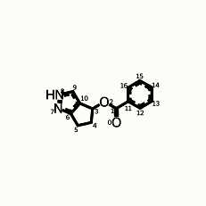 O=C(OC1CCc2n[nH]cc21)c1ccccc1